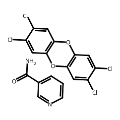 Clc1cc2c(cc1Cl)Oc1cc(Cl)c(Cl)cc1O2.NC(=O)c1cccnc1